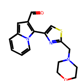 O=Cc1cc2ccccn2c1-c1csc(CN2CCOCC2)n1